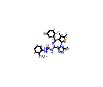 COc1ccccc1NC(=O)NC1N=C(c2cccc(C)c2)c2c(sc(C)c2C)-n2c(C)nnc21